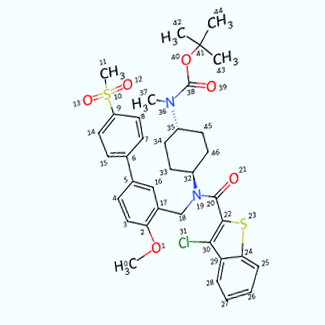 COc1ccc(-c2ccc(S(C)(=O)=O)cc2)cc1CN(C(=O)c1sc2ccccc2c1Cl)[C@H]1CC[C@H](N(C)C(=O)OC(C)(C)C)CC1